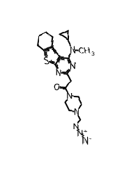 CN(c1nc(CC(=O)N2CCN(CN=[N+]=[N-])CC2)nc2sc3c(c12)CCCC3)C1CC1